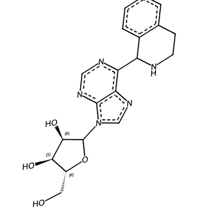 OC[C@H]1OC(n2cnc3c(C4NCCc5ccccc54)ncnc32)[C@H](O)[C@@H]1O